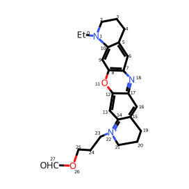 CCN1CCCc2cc3c(cc21)Oc1cc2c(cc1=N3)CCC[N+]=2CCCOC=O